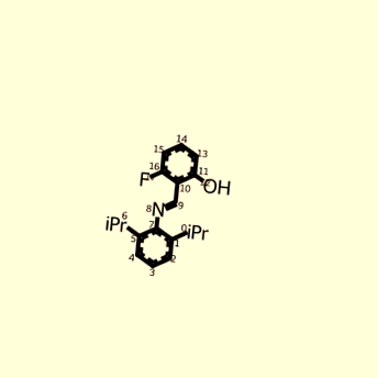 CC(C)c1cccc(C(C)C)c1/N=C/c1c(O)cccc1F